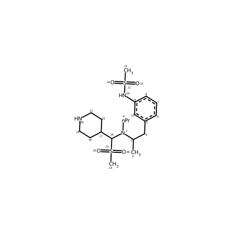 CCCN(C(C)Cc1cccc(NS(C)(=O)=O)c1)C(C1CCNCC1)S(C)(=O)=O